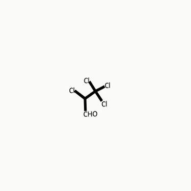 O=CC(Cl)C(Cl)(Cl)Cl